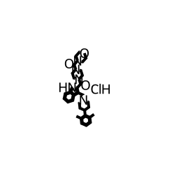 Cc1cccc(C)c1C1CCN(Cc2c(C(=O)N3CCN(C(=O)N4CCOCC4)CC3)[nH]c3ccccc23)CC1.Cl